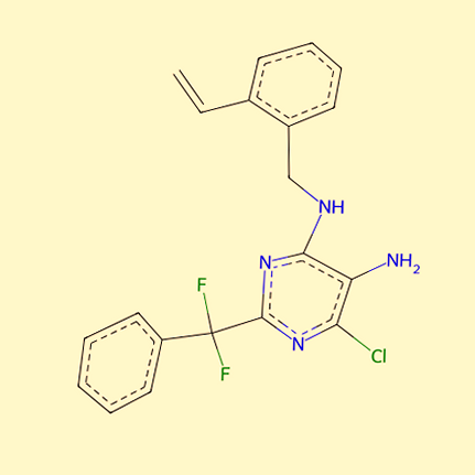 C=Cc1ccccc1CNc1nc(C(F)(F)c2ccccc2)nc(Cl)c1N